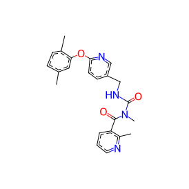 Cc1ccc(C)c(Oc2ccc(CNC(=O)N(C)C(=O)c3cccnc3C)cn2)c1